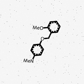 CNc1ccc(OCc2ccccc2OC)cc1